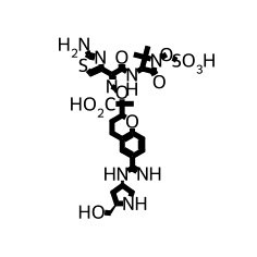 CC(ON=C(C(=O)NC1C(=O)N(OS(=O)(=O)O)C1(C)C)c1csc(N)n1)(C(=O)O)C1CCc2cc(C(=N)N[C@H]3CN[C@@H](CO)C3)ccc2O1